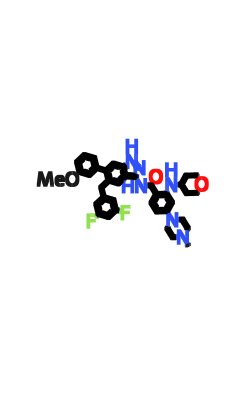 COc1cccc(-c2cc3[nH]nc(NC(=O)c4ccc(N5CCN(C)CC5)cc4NC4CCOCC4)c3cc2Cc2cc(F)cc(F)c2)c1